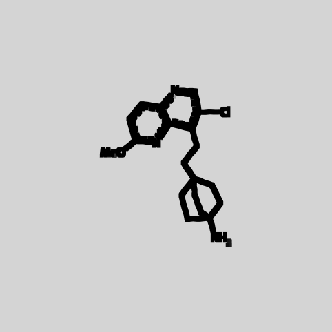 COc1ccc2ncc(Cl)c(CCC34CCC(N)(CC3)CC4)c2n1